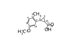 COc1ccc(C)c(C2CC2C(=O)O)c1